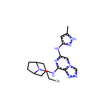 Cc1cc(Nc2cn3cnnc3c(NC3CC4CCC(C3)N4CCC#N)n2)n[nH]1